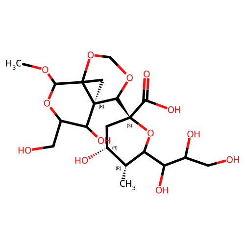 COC1OC(CO)C(O)[C@@]23CC12OCOC3[C@]1(C(=O)O)C[C@@H](O)[C@@H](C)C(C(O)C(O)CO)O1